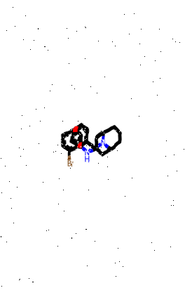 Brc1ccccc1NC1CC2CCCC(C1)N2Cc1ccccc1